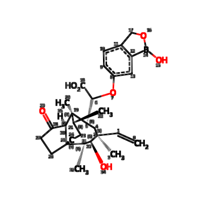 C=C[C@]1(C)C[C@@H](C(Oc2ccc3c(c2)B(O)OC3)C(=O)O)[C@@]2(C)[C@H](C)CC[C@]3(CCC(=O)[C@H]32)[C@@H](C)[C@@H]1O